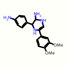 COc1ccc(C2=CNC(N)C(c3ccc(N)cc3)N2)cc1OC